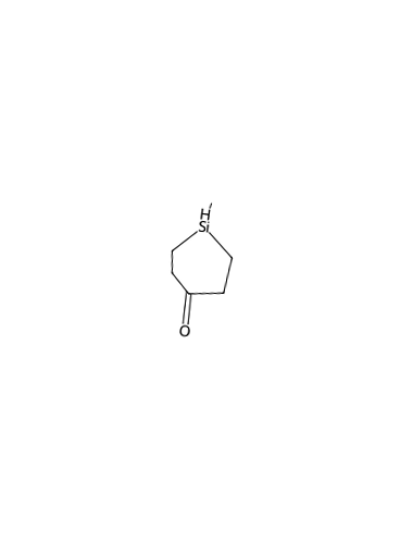 C[SiH]1CCC(=O)CC1